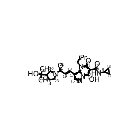 CC(C)Cn1c(=O)c(C(=O)NC2CC2)c(O)n2ncc(C=CC(=O)N3CCC(C(C)(C)O)C3)c12